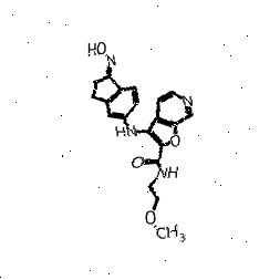 COCCNC(=O)c1oc2cnccc2c1Nc1ccc2c(c1)CCC2=NO